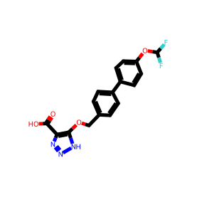 O=C(O)c1nn[nH]c1OCc1ccc(-c2ccc(OC(F)F)cc2)cc1